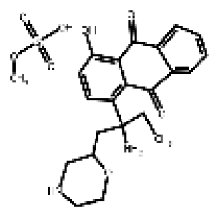 CCC(N)(CC1CNCCO1)c1ccc(O)c2c1C(=O)c1ccccc1C2=O.COS(=O)(=O)O